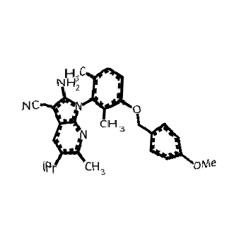 COc1ccc(COc2ccc(C)c(-n3c(N)c(C#N)c4cc(C(C)C)c(C)nc43)c2C)cc1